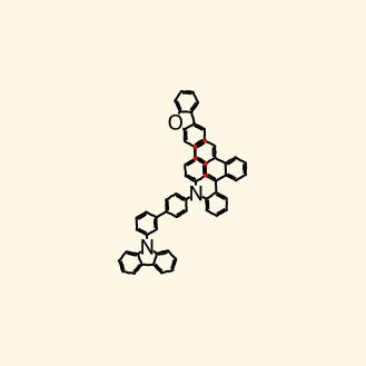 c1cc(-c2ccc(N(c3ccc(-c4ccc5c(c4)oc4ccccc45)cc3)c3ccccc3-c3cc4ccccc4c4ccccc34)cc2)cc(-n2c3ccccc3c3ccccc32)c1